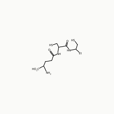 CCC(CS)NC(=O)C(CS)NC(=O)CCC(N)C(=O)O